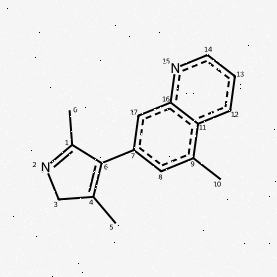 CC1=NCC(C)=C1c1cc(C)c2cccnc2c1